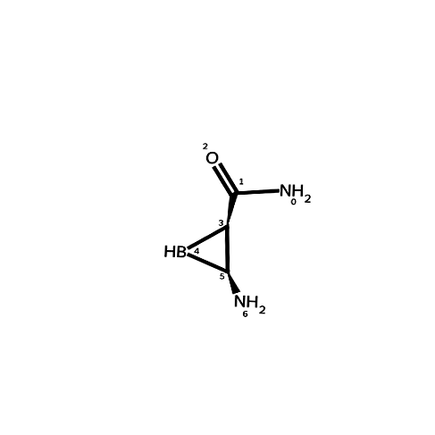 NC(=O)[C@@H]1B[C@@H]1N